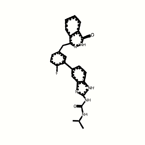 CC(C)NC(=O)Nc1nc2cc(-c3cc(Cc4n[nH]c(=O)c5ccccc45)ccc3F)ccc2[nH]1